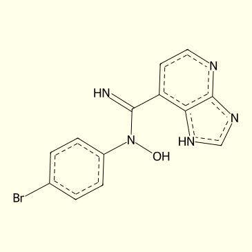 N=C(c1ccnc2nc[nH]c12)N(O)c1ccc(Br)cc1